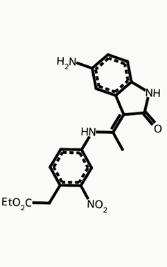 CCOC(=O)Cc1ccc(NC(C)=C2C(=O)Nc3ccc(N)cc32)cc1[N+](=O)[O-]